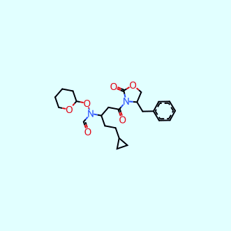 O=CN(OC1CCCCO1)C(CCC1CC1)CC(=O)N1C(=O)OCC1Cc1ccccc1